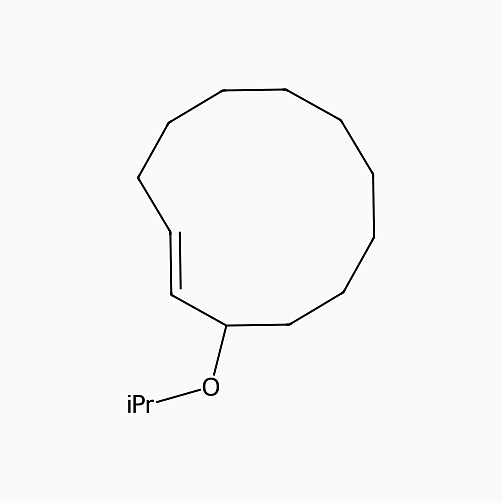 CC(C)OC1/C=C/CCCCCCCCC1